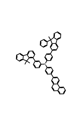 CC1(C)c2ccccc2-c2cccc(-c3cccc(N(c4ccc(-c5ccc6c(c5)C(C)(c5ccccc5)c5ccccc5-6)cc4)c4ccc(-c5ccc6c(ccc7ccccc76)c5)cc4)c3)c21